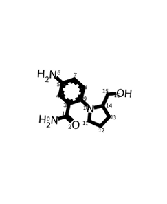 NC(=O)c1cc(N)ccc1N1CCCC1CO